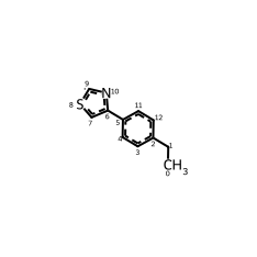 CCc1ccc(-c2cs[c]n2)cc1